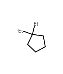 C[CH]C1(CC)CCCC1